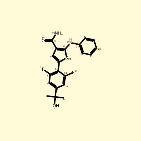 CC(C)(O)c1cc(F)c(-c2cc(C(N)=O)c(Nc3ccccc3)s2)c(F)c1